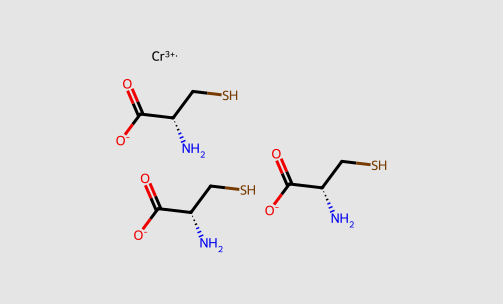 N[C@@H](CS)C(=O)[O-].N[C@@H](CS)C(=O)[O-].N[C@@H](CS)C(=O)[O-].[Cr+3]